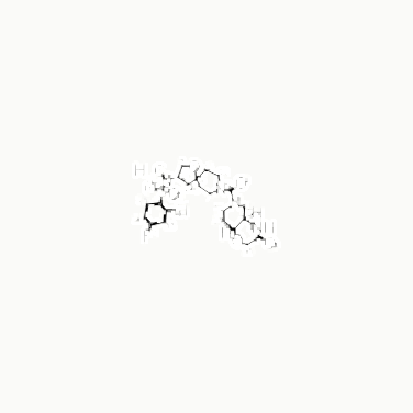 CN([C@H]1COC2(CCN(C(=O)N3CC[C@@H]4OCC(=O)N[C@@H]4C3)CC2)C1)S(=O)(=O)c1ccc(F)cc1Cl